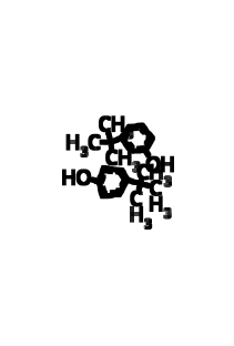 CC(C)(C)c1ccc(O)cc1.CC(C)(C)c1cccc(O)c1